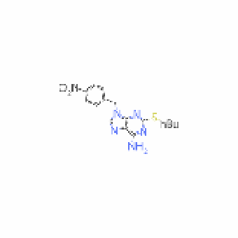 CCCCSc1nc(N)c2ncn(Cc3ccc([N+](=O)[O-])cc3)c2n1